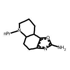 CCCN1CCCC2c3oc(N)nc3CCC21